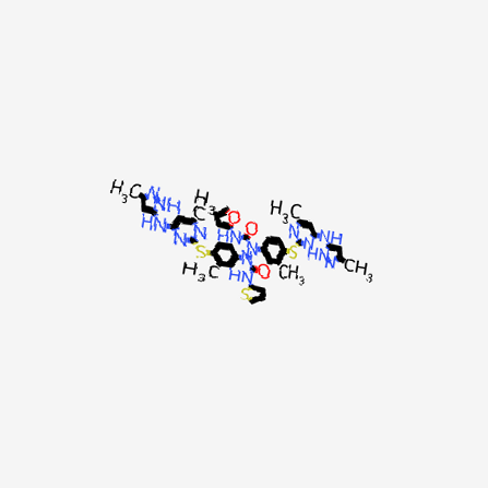 Cc1cc(Nc2cc(C)nc(Sc3ccc(N(C(=O)Nc4ccco4)N(C(=O)Nc4cccs4)c4ccc(Sc5nc(C)cc(Nc6cc(C)n[nH]6)n5)c(C)c4)cc3C)n2)[nH]n1